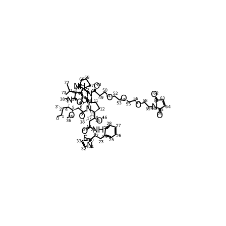 CC[C@H](C)[C@@H]([C@@H](CC(=O)N1CCC[C@H]1[C@H](OC)[C@@H](C)C(=O)N[C@@H](Cc1ccccc1)c1nccs1)OC)N(C)C(=O)[C@](N)(C(=O)C1(NC(=O)CCOCCOCCOCCN2C(=O)C=CC2=O)CCCC1)C(C)C